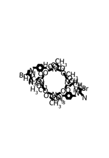 CC(C)C[C@H]1C(=O)O[C@H](Cc2ccc(Cn3ncc(Br)c3C#N)cc2)C(=O)N(C)[C@@H](CC(C)C)C(=O)O[C@H](C)C(=O)N(C)[C@@H](CC(C)C)C(=O)O[C@H](Cc2ccc(Cn3cc(Br)c(C#N)n3)cc2)C(=O)N(C)[C@@H](CC(C)C)C(=O)O[C@H](C)C(=O)N1C